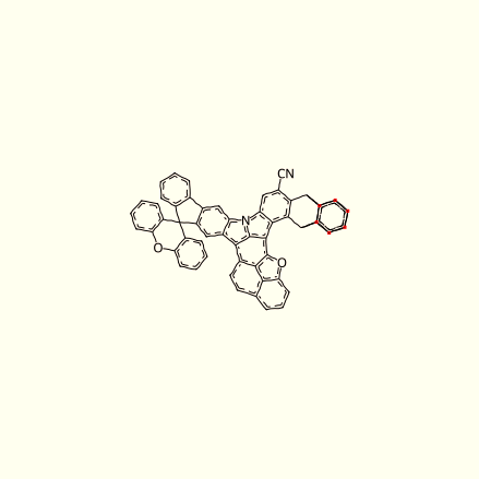 N#Cc1cc2c(c3c1C1c4ccccc4C3c3ccccc31)c1c3oc4cccc5ccc(c3c54)c3c4cc5c(cc4n2c31)-c1ccccc1C51c2ccccc2Oc2ccccc21